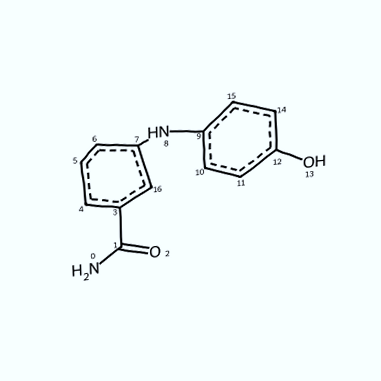 NC(=O)c1cccc(Nc2ccc(O)cc2)c1